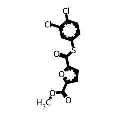 COC(=O)c1ccc(C(=O)Sc2ccc(Cl)c(Cl)c2)o1